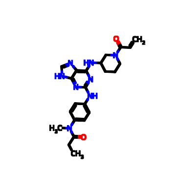 C=CC(=O)N1CCCC(Nc2nc(Nc3ccc(N(C)C(=O)CC)cc3)nc3[nH]cnc23)C1